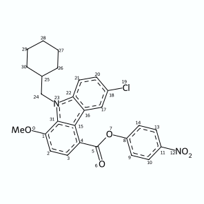 COc1ccc(C(=O)Oc2ccc([N+](=O)[O-])cc2)c2c3cc(Cl)ccc3n(CC3CCCCC3)c12